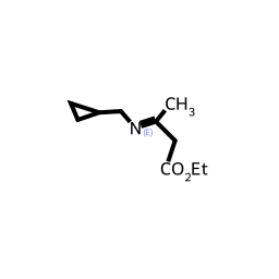 CCOC(=O)C/C(C)=N/CC1CC1